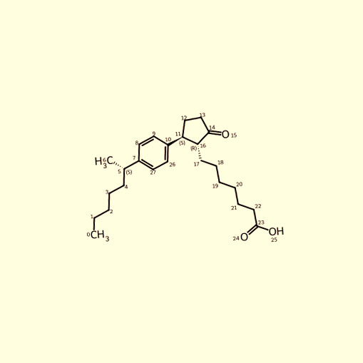 CCCCC[C@H](C)c1ccc([C@H]2CCC(=O)[C@@H]2CCCCCCC(=O)O)cc1